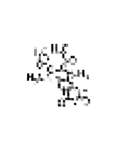 C=CC(=O)OC(C)CC(O)(CC(C)OC(=O)C=C)Cn1c(=O)[nH]c(=O)[nH]c1=O